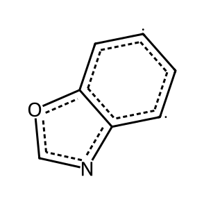 [c]1c[c]c2ncoc2c1